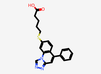 O=C(O)CCCCSc1ccc2c(-c3ccccc3)cc3nncn3c2c1